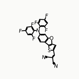 N#CC(C#N)=Cc1cc2oc3cc(N(c4c(F)cc(F)cc4F)c4c(F)cc(F)cc4F)ccc3c2s1